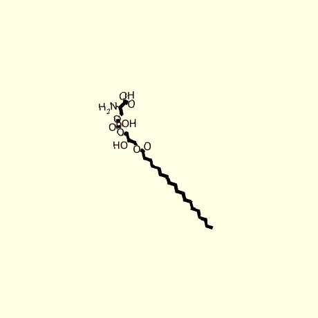 CCCCCCCCCCCCCCCCCCC(=O)OC[C@@H](O)COP(=O)(O)OC[C@H](N)C(=O)O